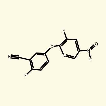 N#Cc1cc(Oc2ncc([N+](=O)[O-])cc2F)ccc1F